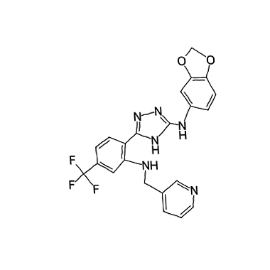 FC(F)(F)c1ccc(-c2nnc(Nc3ccc4c(c3)OCO4)[nH]2)c(NCc2cccnc2)c1